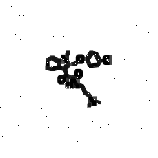 CN(C)CCCNC(=O)C(=O)c1c(COc2ccc(Cl)cc2)n(C)c2ccccc12